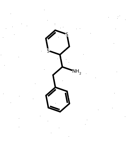 NC(Cc1ccccc1)C1CSC=CS1